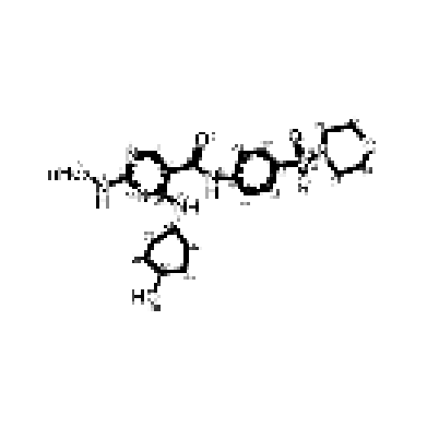 CCCCCCNc1ncc(C(=O)Nc2ccc(S(=O)(=O)N3CCOCC3)cc2)c(N[C@H]2CC[C@H](O)CC2)n1